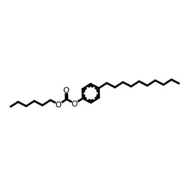 CCCCCCCCCCc1ccc(OC(=O)OCCCCCC)cc1